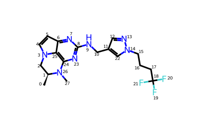 C[C@H]1Cn2ccc3nc(NCc4cnn(CCCC(F)(F)F)c4)nc(c32)N1C